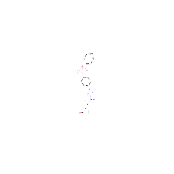 O=C(O)C(F)(F)C(F)(F)C(=O)NNc1ccc(NS(=O)(=O)c2ccccc2)cc1